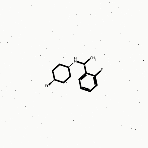 CC[C@H]1CC[C@H](NC(C)c2ccccc2F)CC1